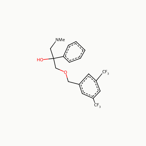 CNCC(O)(COCc1cc(C(F)(F)F)cc(C(F)(F)F)c1)c1ccccc1